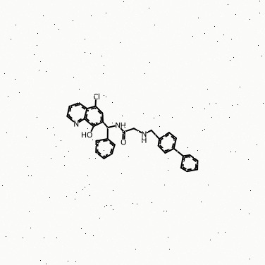 O=C(CNCc1ccc(-c2ccccc2)cc1)NC(c1ccccc1)c1cc(Cl)c2cccnc2c1O